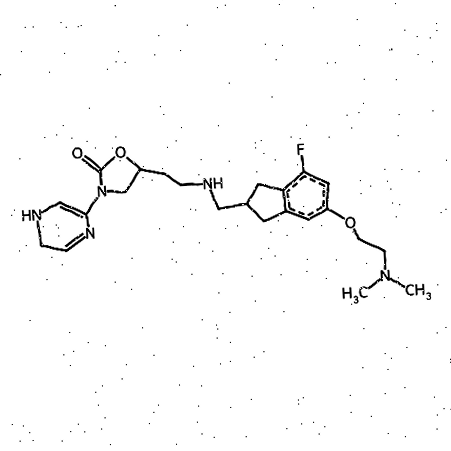 CN(C)CCOc1cc(F)c2c(c1)CC(CNCCC1CN(C3=CNCC=N3)C(=O)O1)C2